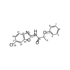 CC(Oc1ccccc1)C(=O)Nc1nc2ccc(Cl)cc2o1